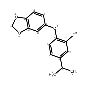 CC(C)c1ccc(Oc2ccc3c(c2)OCO3)c(F)c1